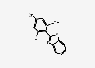 Oc1cc(Br)cc(O)c1-c1nc2ccccc2s1